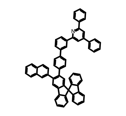 c1ccc(-c2cc(-c3ccccc3)nc(-c3cccc(-c4ccc(-c5cc6c(cc5-c5ccc7ccccc7c5)-c5ccccc5C65c6ccccc6-c6ccccc65)cc4)c3)c2)cc1